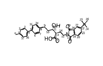 Cc1ccc(-c2ccc(CC[C@H](O)[C@@H](CCN3C(=O)c4ccc(C(C)(C)C)cc4C3=O)C(=O)O)cc2)cc1